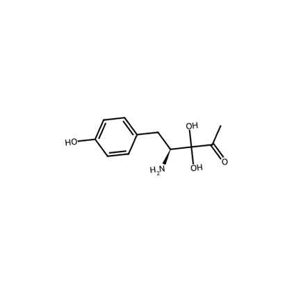 CC(=O)C(O)(O)[C@@H](N)Cc1ccc(O)cc1